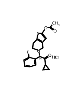 CC(=O)Oc1cc2c(s1)CCN([C@@H](C(=O)C1CC1)c1ccccc1F)C2.Cl